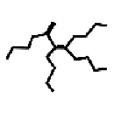 C=C(CCCC)C(CCCC)=C(CCCC)CCCC